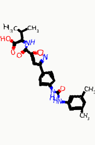 Cc1cc(C)cc(NC(=O)Nc2ccc(-c3cc(C(=O)NC(C(=O)O)C(C)C)on3)cc2)c1